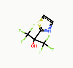 OC(c1nc[c]s1)(C(F)(F)F)C(F)(F)F